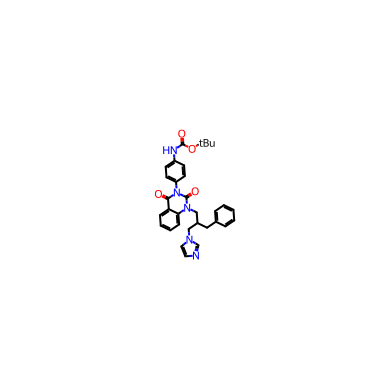 CC(C)(C)OC(=O)Nc1ccc(-n2c(=O)c3ccccc3n(CC(Cc3ccccc3)Cn3ccnc3)c2=O)cc1